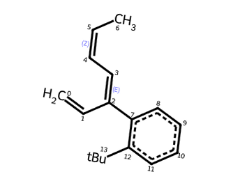 C=C/C(=C\C=C/C)c1ccccc1C(C)(C)C